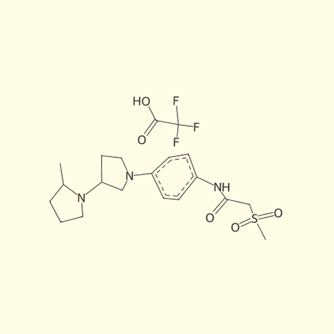 CC1CCCN1C1CCN(c2ccc(NC(=O)CS(C)(=O)=O)cc2)C1.O=C(O)C(F)(F)F